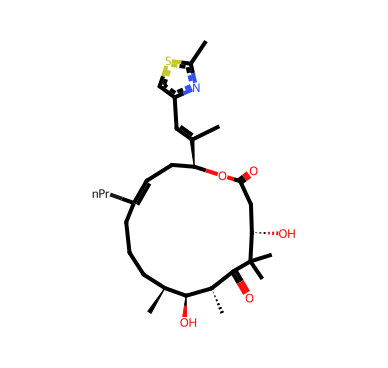 CCC/C1=C/C[C@@H](/C(C)=C/c2csc(C)n2)OC(=O)C[C@H](O)C(C)(C)C(=O)[C@H](C)[C@@H](O)[C@@H](C)CCC1